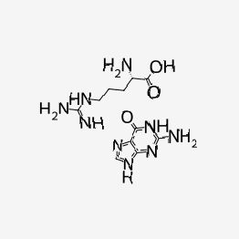 N=C(N)NCCC[C@H](N)C(=O)O.Nc1nc2[nH]cnc2c(=O)[nH]1